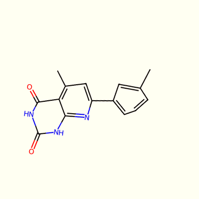 Cc1cccc(-c2cc(C)c3c(=O)[nH]c(=O)[nH]c3n2)c1